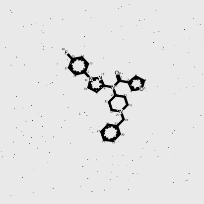 O=C(c1ccoc1)N(c1ccn(-c2ccc(F)cc2)n1)C1CCN(Cc2ccccc2)CC1